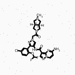 CN1C[C@@H]2CN(C(=O)Cn3cc(NC(=O)c4cnn5ccc(N)nc45)c(-c4cc(Cl)ccc4OC(F)F)n3)C[C@@H]2C1